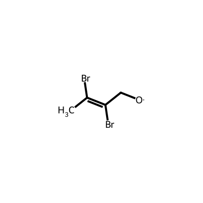 CC(Br)=C(Br)C[O]